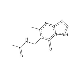 CC(=O)NCc1c(C)nc2cc[nH]n2c1=O